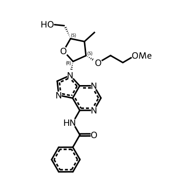 COCCO[C@H]1C(C)[C@@H](CO)O[C@H]1n1cnc2c(NC(=O)c3ccccc3)ncnc21